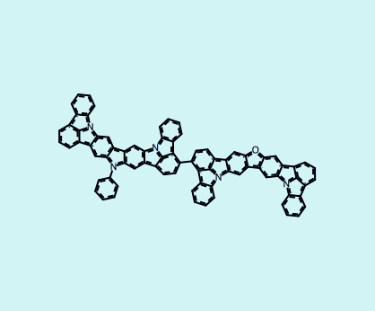 c1ccc(-n2c3cc4c5cccc6c7ccccc7n(c4cc3c3cc4c(cc32)c2ccc(-c3ccc7c8cc9oc%10cc%11c%12cccc%13c%14ccccc%14n(c%11cc%10c9cc8n8c9ccccc9c3c78)c%13%12)c3c7ccccc7n4c23)c65)cc1